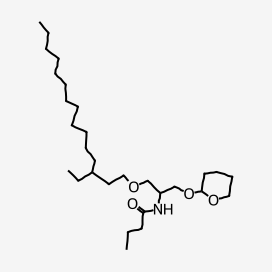 CCCCCCCCCCCCC(CC)CCOCC(COC1CCCCO1)NC(=O)CCC